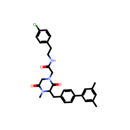 Cc1cc(C)cc(-c2ccc(CC3C(=O)N(CC(=O)NCCc4ccc(Cl)cc4)CC(=O)N3C)cc2)c1